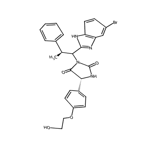 C[C@@H](c1ccccc1)C(c1nc2cc(Br)ccc2[nH]1)N1C(=O)N[C@H](c2ccc(OCCO)cc2)C1=O